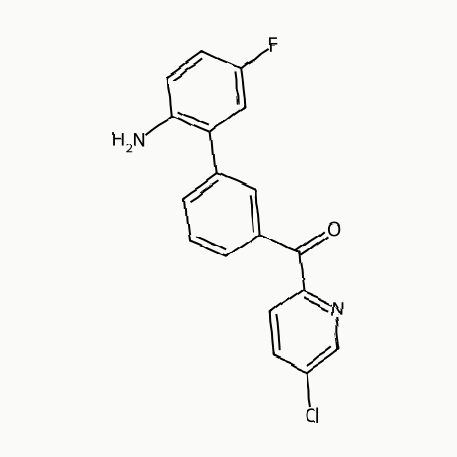 Nc1ccc(F)cc1-c1cccc(C(=O)c2ccc(Cl)cn2)c1